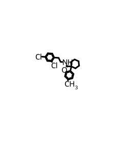 Cc1ccc(C2(C(=O)NCCc3ccc(Cl)cc3Cl)CCCCC2)cc1